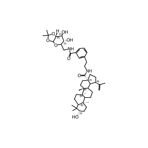 C=C(C)[C@@H]1CC[C@]2(C(=O)NCCc3cccc(C(=O)NCC4OC5OC(C)(C)O[C@@H]5[C@@H](O)[C@@H]4O)c3)CC[C@]3(C)C(CCC4[C@@]5(C)CC[C@H](O)C(C)(C)C5CC[C@]43C)C12